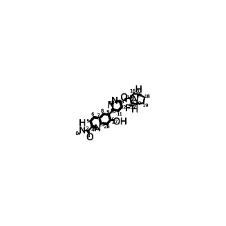 CNC(=O)c1ccc2cc(-c3ccc(O[C@@H]4C[C@H]5CC[C@H](N5)[C@@H]4F)nn3)c(O)cc2n1